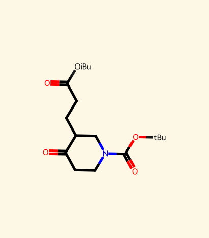 CC(C)COC(=O)CCC1CN(C(=O)OC(C)(C)C)CCC1=O